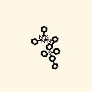 c1ccc(-c2ccc([Si](c3ccccc3)(c3ccccc3)c3ccc4c(c3)c3ccccc3n4-c3nc(-c4ccccc4)nc(-c4ccccc4)n3)cc2)cc1